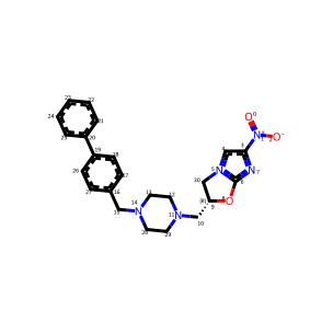 O=[N+]([O-])c1cn2c(n1)O[C@H](CN1CCN(Cc3ccc(-c4ccccc4)cc3)CC1)C2